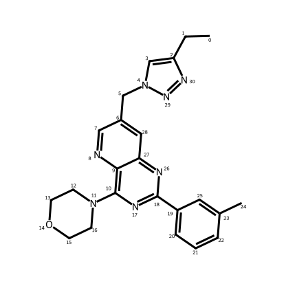 CCc1cn(Cc2cnc3c(N4CCOCC4)nc(-c4cccc(C)c4)nc3c2)nn1